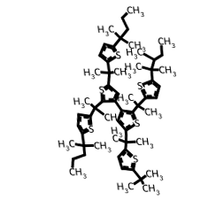 CCCC(C)(C)c1ccc(C(C)(C)c2cc(-c3cc(C(C)(C)c4ccc(C(C)(C)C)s4)sc3C(C)(C)c3ccc(C(C)(C)C(C)CC)s3)c(C(C)(C)c3ccc(C(C)(C)CCC)s3)s2)s1